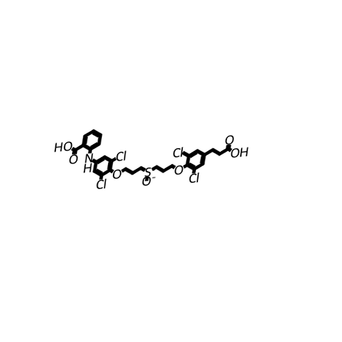 O=C(O)CCc1cc(Cl)c(OCCC[S+]([O-])CCCOc2c(Cl)cc(Nc3ccccc3C(=O)O)cc2Cl)c(Cl)c1